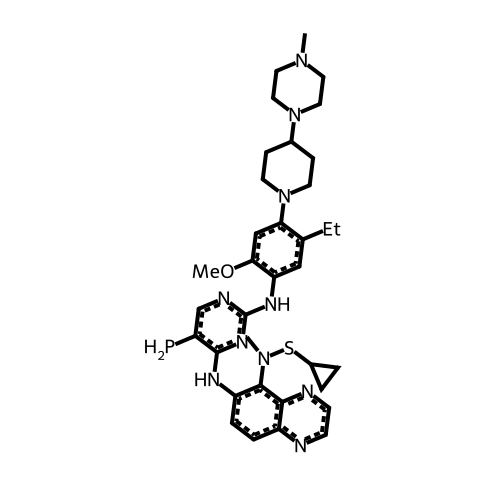 CCc1cc(Nc2ncc(P)c(Nc3ccc4nccnc4c3N(C)SC3CC3)n2)c(OC)cc1N1CCC(N2CCN(C)CC2)CC1